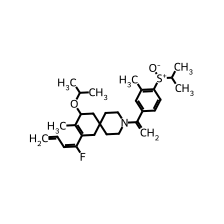 C=C/C=C(/F)C1=C(C)C(OC(C)C)CC2(CCN(C(=C)c3ccc([S+]([O-])C(C)C)c(C)c3)CC2)C1